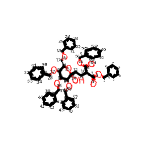 O=C(OCc1ccccc1)C(CCC1(O)O[C@H](COCc2ccccc2)[C@H](OCc2ccccc2)[C@H](OCc2ccccc2)[C@H]1OCc1ccccc1)C(=O)OCc1ccccc1